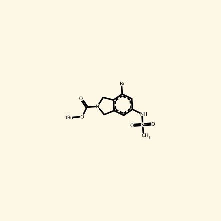 CC(C)(C)OC(=O)N1Cc2cc(NS(C)(=O)=O)cc(Br)c2C1